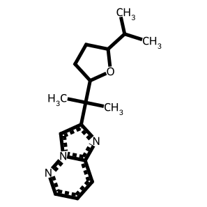 CC(C)C1CCC(C(C)(C)c2cn3ncccc3n2)O1